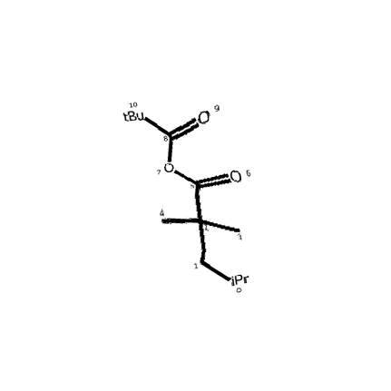 CC(C)CC(C)(C)C(=O)OC(=O)C(C)(C)C